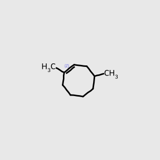 C/C1=C/CC(C)CCCC1